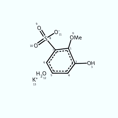 COc1c(O)cccc1S(=O)(=O)[O-].O.[K+]